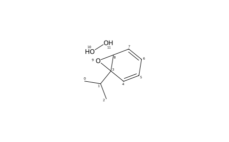 CC(C)C12C=CC=CC1O2.OO